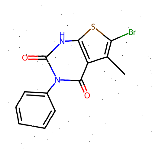 Cc1c(Br)sc2[nH]c(=O)n(-c3ccccc3)c(=O)c12